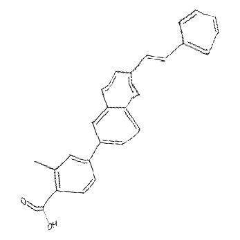 Cc1cc(-c2ccc3cc(C=Cc4ccccc4)ccc3c2)ccc1C(=O)O